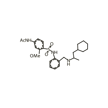 COc1cc(NC(C)=O)ccc1S(=O)(=O)Nc1ccccc1CNC(C)CC1CCCCC1